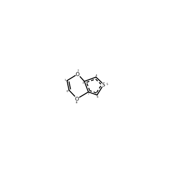 C1=COc2cscc2O1